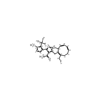 Cn1ncc(-c2onc(C/C3=C(\CF)CC/C=C\C=C/C3Cl)c2C(N)=O)c1C(F)(F)F